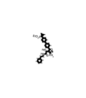 CCOC(=O)C1(c2ccc(-c3ccc(-c4onc(C)c4C(O)C(=O)NCCc4ccccc4)cc3)cc2)CC1